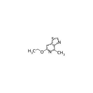 CCOc1cc2scnc2c(C)n1